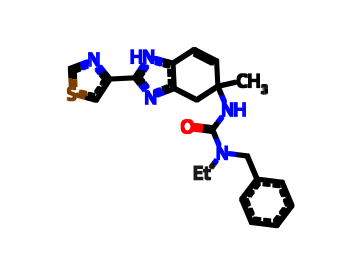 CCN(Cc1ccccc1)C(=O)NC1(C)C=Cc2[nH]c(-c3cscn3)nc2C1